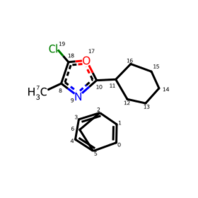 C1=CC2=CC=C1C2.Cc1nc(C2CCCCC2)oc1Cl